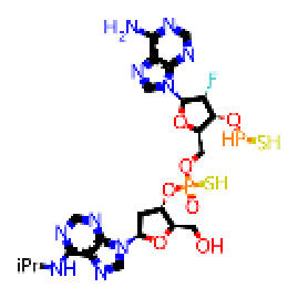 CC(C)Nc1ncnc2c1ncn2[C@H]1C[C@H](OP(=O)(S)OC[C@H]2O[C@@H](n3cnc4c(N)ncnc43)[C@H](F)[C@@H]2OPS)[C@@H](CO)O1